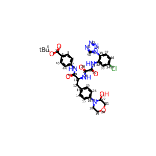 CC(C)(C)OC(=O)c1ccc(NC(=O)C(Cc2ccc(N3CCOCC3O)cc2)NC(=O)C(=O)Nc2cc(Cl)ccc2-n2cnnn2)cc1